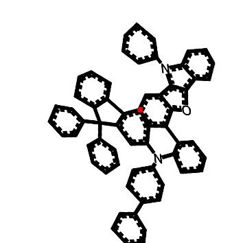 c1ccc(-c2ccc(N(c3ccc4c(c3)C(c3ccccc3)(c3ccccc3)c3ccccc3-4)c3ccccc3-c3cccc4c3oc3c5ccccc5n(-c5ccccc5)c43)cc2)cc1